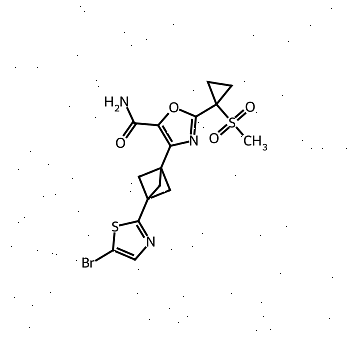 CS(=O)(=O)C1(c2nc(C34CC(c5ncc(Br)s5)(C3)C4)c(C(N)=O)o2)CC1